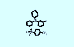 Cc1cccc([S+](c2ccccc2)c2ccccc2)c1.O=S(=O)([O-])c1ccc(C(F)(F)F)cc1